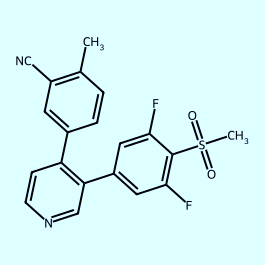 Cc1ccc(-c2ccncc2-c2cc(F)c(S(C)(=O)=O)c(F)c2)cc1C#N